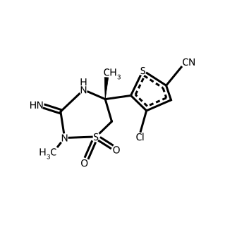 CN1C(=N)N[C@](C)(c2sc(C#N)cc2Cl)CS1(=O)=O